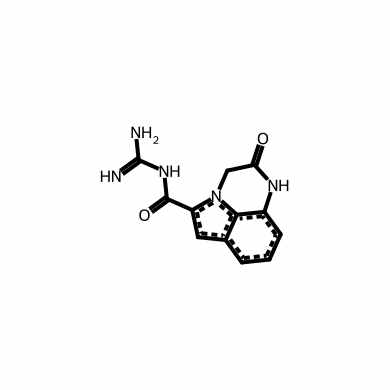 N=C(N)NC(=O)c1cc2cccc3c2n1CC(=O)N3